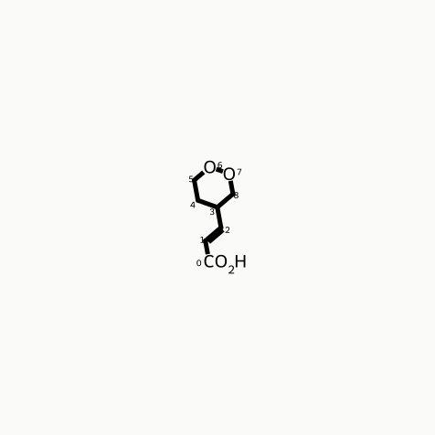 O=C(O)/C=C/C1CCOOC1